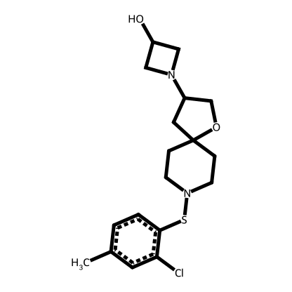 Cc1ccc(SN2CCC3(CC2)CC(N2CC(O)C2)CO3)c(Cl)c1